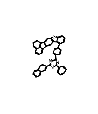 c1ccc(-c2nc(-c3ccc(-c4cccc5sc6cc7c(cc6c45)-c4cccc5cccc-7c45)cc3)nc(-c3ccc4ccccc4c3)n2)cc1